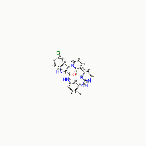 Cc1ccc(NC(=O)c2cc3cc(Cl)ccc3[nH]2)cc1Nc1nccc(-c2cccnc2)n1